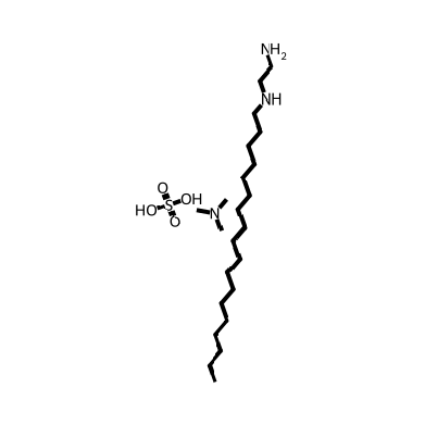 CCCCCCCCCCCCCCCCCCNCCN.CN(C)C.O=S(=O)(O)O